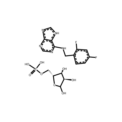 Fc1ccc(CNc2ncnc3nc[nH]c23)c(F)c1.O=P(O)(O)OC[C@H]1OC(O)[C@H](O)[C@@H]1O